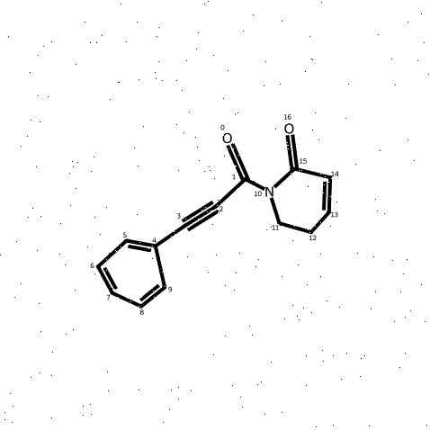 O=C(C#Cc1ccccc1)N1CCC=CC1=O